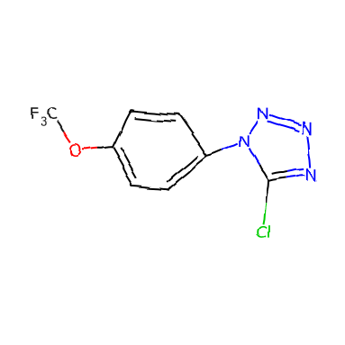 FC(F)(F)Oc1ccc(-n2nnnc2Cl)cc1